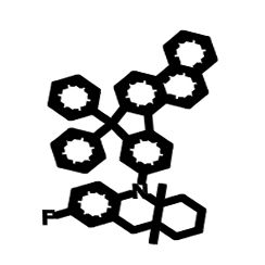 CC12CCCCC1(C)N(c1ccc3c(c1)C(c1ccccc1)(c1ccccc1)c1ccc4c(ccc5ccccc54)c1-3)c1ccc(F)cc1C2